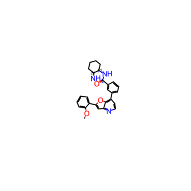 COc1ccccc1-c1cc2nccc(-c3cccc(C(=O)N[C@@H]4CCCC[C@@H]4N)c3)c2o1